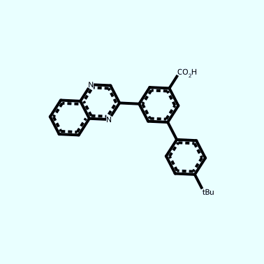 CC(C)(C)c1ccc(-c2cc(C(=O)O)cc(-c3cnc4ccccc4n3)c2)cc1